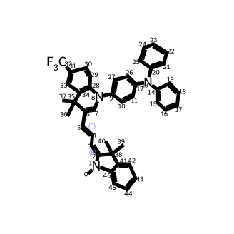 CN1/C(=C/C=C/C2=CN(c3ccc(N(c4ccccc4)c4ccccc4)cc3)c3ccc(C(F)(F)F)cc3C2(C)C)C(C)(C)c2ccccc21